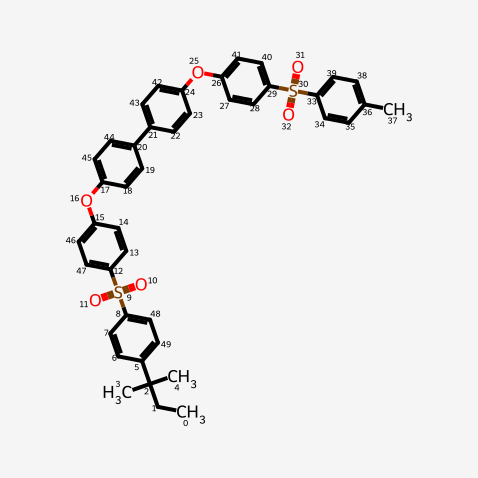 CCC(C)(C)c1ccc(S(=O)(=O)c2ccc(Oc3ccc(-c4ccc(Oc5ccc(S(=O)(=O)c6ccc(C)cc6)cc5)cc4)cc3)cc2)cc1